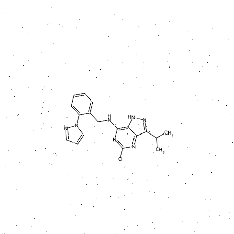 CC(C)c1n[nH]c2c(NCc3ccccc3-n3cccn3)nc(Cl)nc12